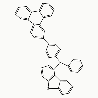 c1ccc(-n2c3ccc(-c4ccc5c6ccccc6c6ccccc6c5c4)cc3c3ccc4sc5ccccc5c4c32)cc1